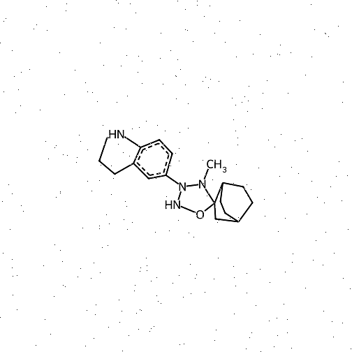 CN1N(c2ccc3c(c2)CCCN3)NOC12CC1CCC2CC1